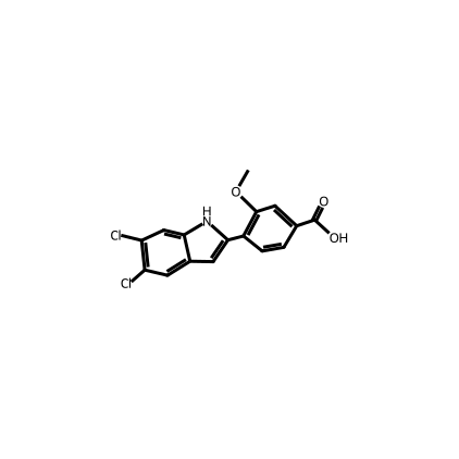 COc1cc(C(=O)O)ccc1-c1cc2cc(Cl)c(Cl)cc2[nH]1